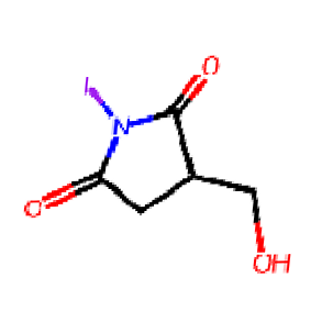 O=C1CC(CO)C(=O)N1I